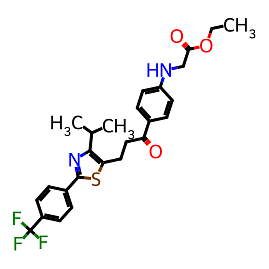 CCOC(=O)CNc1ccc(C(=O)CCc2sc(-c3ccc(C(F)(F)F)cc3)nc2C(C)C)cc1